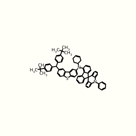 CC(C)(C)c1ccc(C(c2ccc(C(C)(C)C)cc2)c2ccc3sc4ccc(N(c5cccc6c5-c5ccccc5C65c6ccccc6N(c6ccccc6)c6ccccc65)C5CC=CCC5)cc4c3c2)cc1